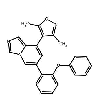 Cc1noc(C)c1-c1cc(-c2ccccc2Oc2ccccc2)cn2cncc12